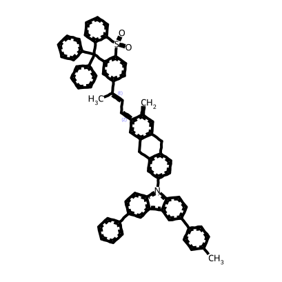 C=c1cc2c(c/c1=C/C=C(\C)c1ccc3c(c1)C(c1ccccc1)(c1ccccc1)c1ccccc1S3(=O)=O)Cc1cc(-n3c4ccc(-c5ccccc5)cc4c4cc(-c5ccc(C)cc5)ccc43)ccc1C2